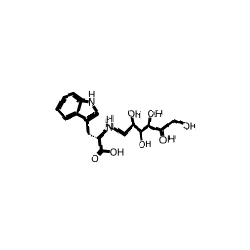 O=C(O)[C@H](Cc1c[nH]c2ccccc12)NCC(O)C(O)C(O)C(O)CO